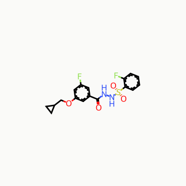 O=C(NNS(=O)(=O)c1ccccc1F)c1cc(F)cc(OCC2CC2)c1